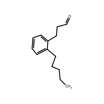 CCCCCc1ccccc1CCC=O